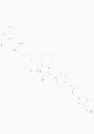 Cc1ncc(Cl)cc1C(=O)N[C@H]1CC[C@H](Cn2c(=O)n(-c3ccc(NCc4cnn(C)c4)nc3)c3ccccc32)CC1